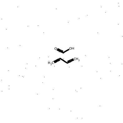 C=CC=C.O=CO